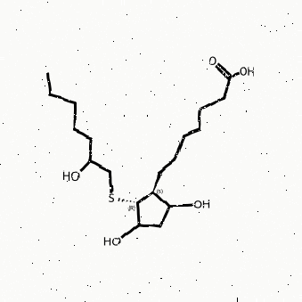 CCCCCC(O)CS[C@H]1C(O)CC(O)[C@@H]1CCCCCCC(=O)O